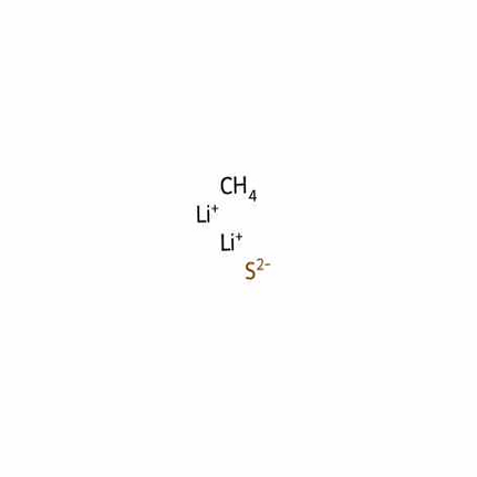 C.[Li+].[Li+].[S-2]